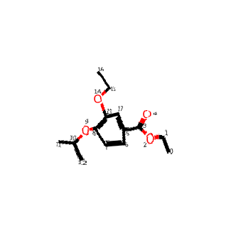 CCOC(=O)c1ccc(OC(C)C)c(OCC)c1